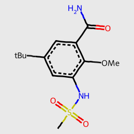 COc1c(NS(C)(=O)=O)cc(C(C)(C)C)cc1C(N)=O